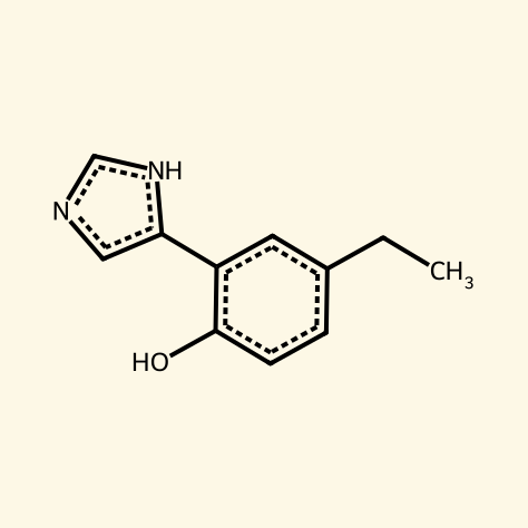 CCc1ccc(O)c(-c2cnc[nH]2)c1